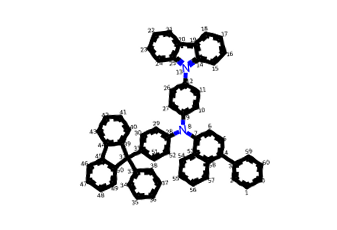 c1ccc(-c2ccc(N(c3ccc(-n4c5ccccc5c5ccccc54)cc3)c3ccc(C4(c5ccccc5)c5ccccc5-c5ccccc54)cc3)c3ccccc23)cc1